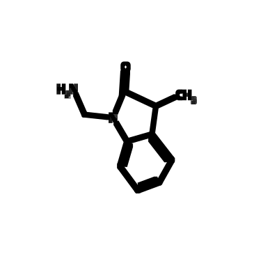 CC1C(=O)N(CN)c2ccccc21